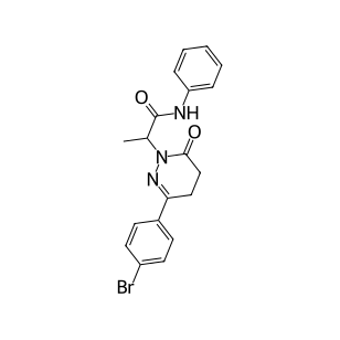 CC(C(=O)Nc1ccccc1)N1N=C(c2ccc(Br)cc2)CCC1=O